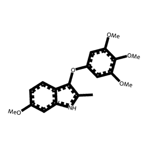 COc1ccc2c(Oc3cc(OC)c(OC)c(OC)c3)c(C)[nH]c2c1